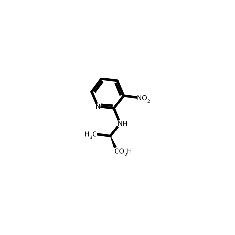 C[C@@H](Nc1ncccc1[N+](=O)[O-])C(=O)O